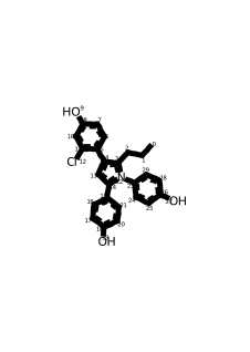 CCCc1c(-c2ccc(O)cc2Cl)cc(-c2ccc(O)cc2)n1-c1ccc(O)cc1